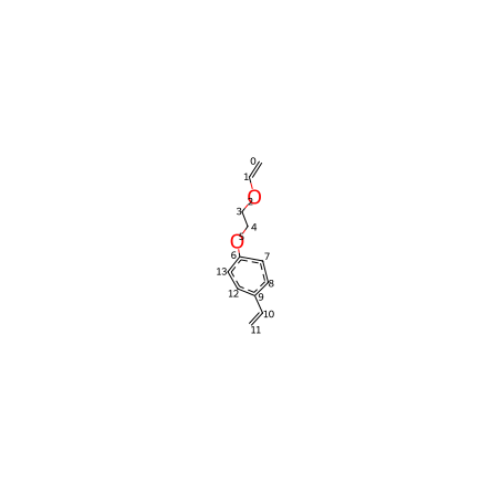 C=COCCOc1ccc(C=C)cc1